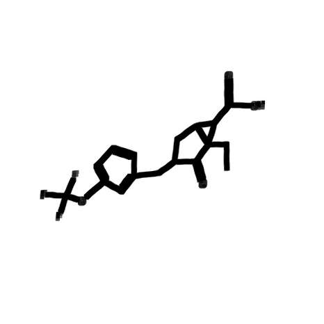 CCC12C(=O)C(Cc3cccc(OC(F)(F)F)c3)CC1C2C(=O)O